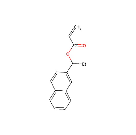 C=CC(=O)OC(CC)c1ccc2ccccc2c1